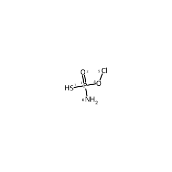 NP(=O)(S)OCl